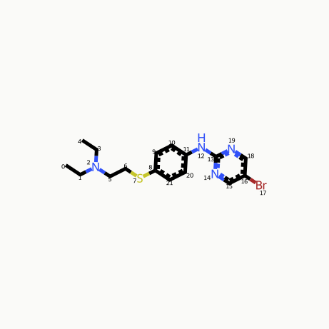 CCN(CC)CCSc1ccc(Nc2ncc(Br)cn2)cc1